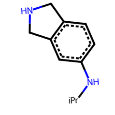 CC(C)Nc1ccc2c(c1)CNC2